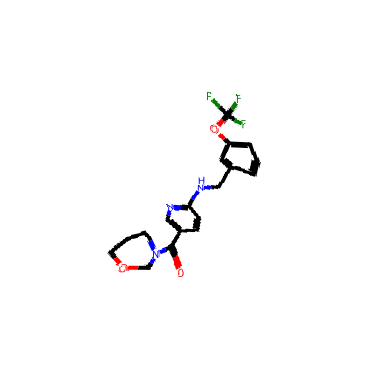 O=C(c1ccc(NCc2cccc(OC(F)(F)F)c2)nc1)N1CCCOC1